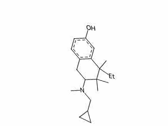 CCC1(C)c2cc(O)ccc2CC(N(C)CC2CC2)C1(C)C